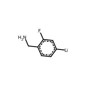 [Li][c]1ccc(CN)c(F)c1